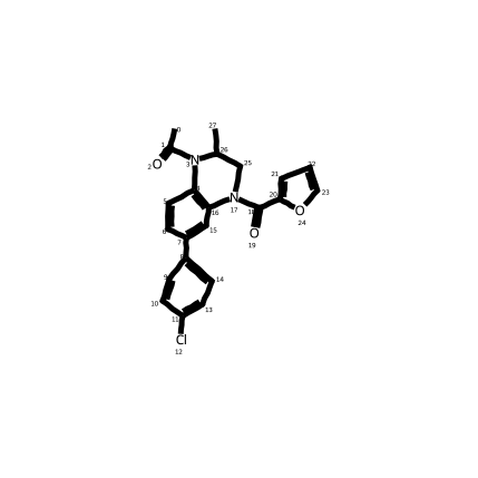 CC(=O)N1c2ccc(-c3ccc(Cl)cc3)cc2N(C(=O)c2ccco2)CC1C